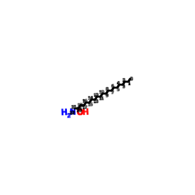 CCCCCCCCCCCCCCCCCC=CC(O)CN